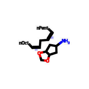 CCCCC/C=C\C/C=C\CCCCCCCC.NC1CC2OCOC2C1